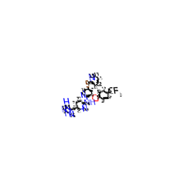 FC(F)(F)c1ccc(Oc2cc(Sc3ccccn3)cnc2Nc2ccc(-c3nnn[nH]3)cn2)cc1